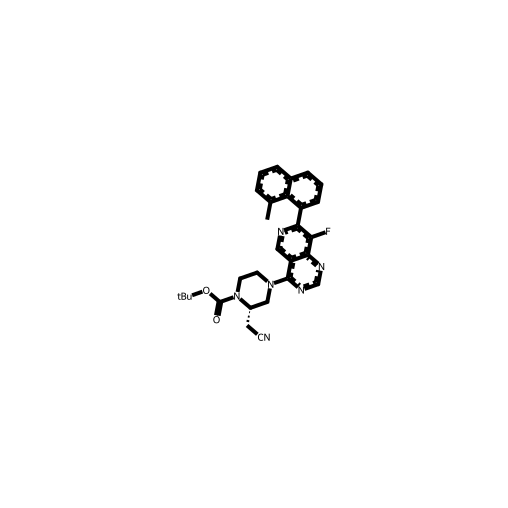 Cc1cccc2cccc(-c3ncc4c(N5CCN(C(=O)OC(C)(C)C)[C@@H](CC#N)C5)ncnc4c3F)c12